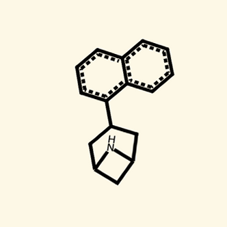 c1ccc2c(C3CC4CC(C3)N4)cccc2c1